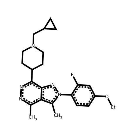 CCOc1ccc(-n2nc3c(C4CCN(CC5CC5)CC4)nnc(C)c3c2C)c(F)c1